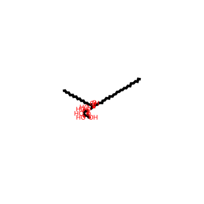 CCCCCCCCCCCCCCCCCCCCCCCCCC(=O)C[C@@H](COC1OC(CO)C(O)C(O)C1O)[C@H](O)[C@H](O)CCCCCCCCCCCCCC